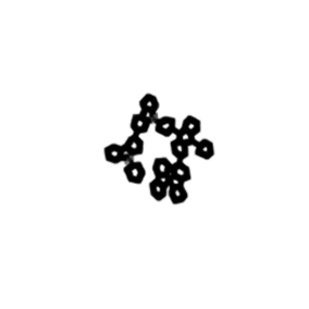 c1ccc(-c2c3ccccc3c(-c3ccc(-n4c5ccccc5c5ccc(-c6ccc7c(c6)c6ccccc6n7-c6ccccc6)cc54)cc3)c3ccc(-c4ccc5c(c4)C4(c6ccccc6-c6ccccc64)c4ccccc4-5)cc23)cc1